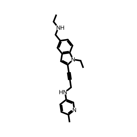 CCNCc1ccc2c(c1)cc(C#CCNc1ccc(C)nc1)n2CC